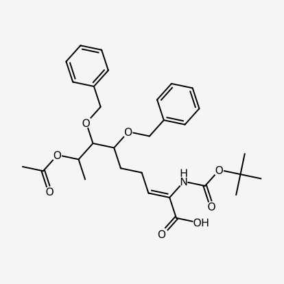 CC(=O)OC(C)C(OCc1ccccc1)C(CC/C=C(\NC(=O)OC(C)(C)C)C(=O)O)OCc1ccccc1